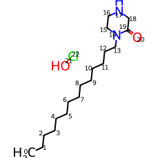 CCCCCCCCCCCCCCN1CCNCC1=O.OCl